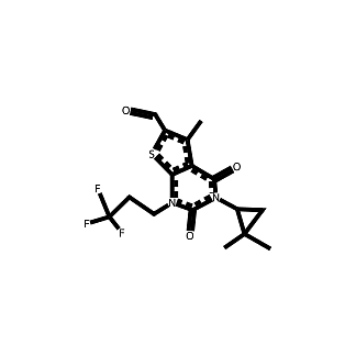 Cc1c(C=O)sc2c1c(=O)n(C1CC1(C)C)c(=O)n2CCC(F)(F)F